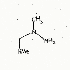 CNCN(C)N